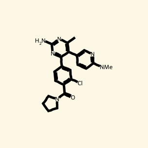 CNc1ccc(-c2c(C)nc(N)nc2-c2ccc(C(=O)N3CCCC3)c(Cl)c2)cn1